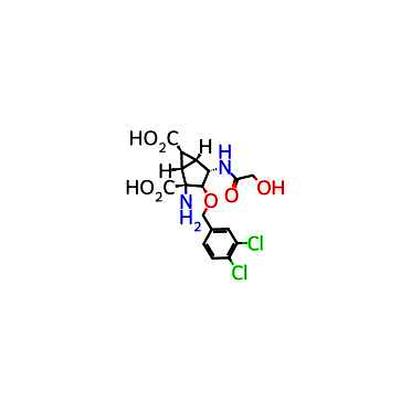 N[C@]1(C(=O)O)[C@@H]2[C@@H](C(=O)O)[C@@H]2[C@H](NC(=O)CO)[C@H]1OCc1ccc(Cl)c(Cl)c1